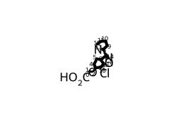 O=C(O)COc1ccc2c(-c3ccccn3)noc2c1Cl